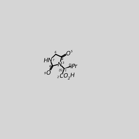 CC(C)[C@@H](C(=O)O)N1C(=O)CNC1=O